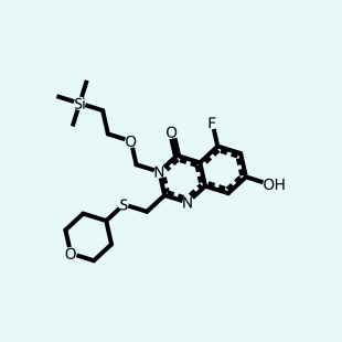 C[Si](C)(C)CCOCn1c(CSC2CCOCC2)nc2cc(O)cc(F)c2c1=O